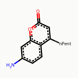 CCCCCc1cc(=O)oc2cc(N)ccc12